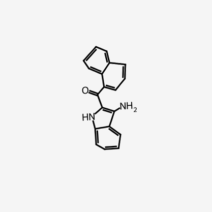 Nc1c(C(=O)c2cccc3ccccc23)[nH]c2ccccc12